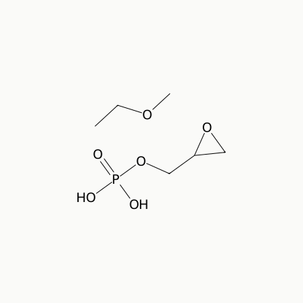 CCOC.O=P(O)(O)OCC1CO1